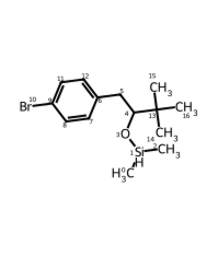 C[SiH](C)OC(Cc1ccc(Br)cc1)C(C)(C)C